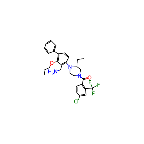 CCCOc1c(-c2ccccc2)ccc(N2CCN(C(=O)c3ccc(Cl)cc3C(F)(F)F)C[C@H]2CC)c1CN